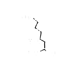 CCCCCCCCCCCCC(C(=O)O)C(=O)O.[MgH2]